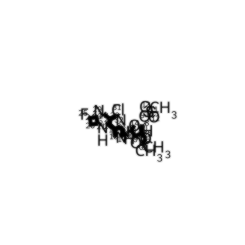 CC1(C)O[C@@H]2[C@H](O1)[C@@H](COS(C)(=O)=O)O[C@H]2n1ncc2c(NC3CC(F)C3)c(C#N)c(Cl)nc21